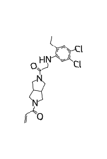 C=CC(=O)N1CC2CN(C(=O)CNc3cc(Cl)c(Cl)cc3CC)CC2C1